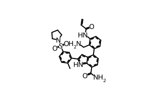 C=CC(=O)Nc1cccc(-c2ccc(C(N)=O)c3[nH]c(-c4cc(S(=O)(=O)N5CCCC5)ccc4C)cc23)c1CN